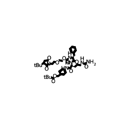 CC(C)(C)C(=O)OCc1ccc(NC(=O)[C@H](CCCNC(N)=O)NC(=O)[C@@H](Cc2ccccc2)NC(=O)OCCOCCN2C(=O)CC(C(C)(C)C)C2=O)cc1